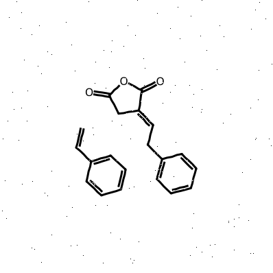 C=Cc1ccccc1.O=C1CC(=CCc2ccccc2)C(=O)O1